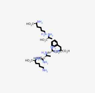 CC(C)[C@H](N)C(=O)O.C[C@H](N)C(=O)O.C[C@H](N)C(=O)O.NCC(=O)O.NCCCC[C@H](N)C(=O)O.NCCCC[C@H](N)C(=O)O.N[C@@H](Cc1ccccc1)C(=O)O